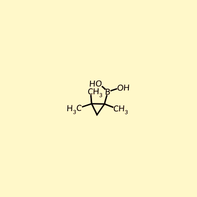 CC1(C)CC1(C)B(O)O